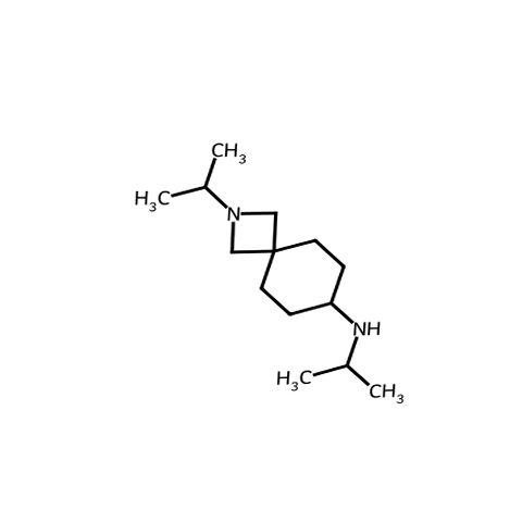 CC(C)NC1CCC2(CC1)CN(C(C)C)C2